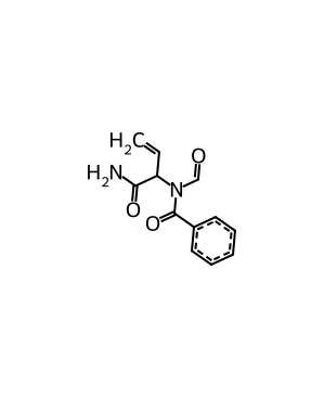 C=CC(C(N)=O)N(C=O)C(=O)c1ccccc1